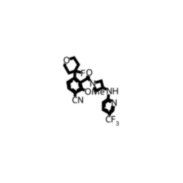 COc1c(C#N)ccc(C2(F)CCOCC2)c1C(=O)N1CC(Nc2ccc(C(F)(F)F)cn2)C1